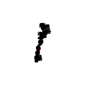 COc1cc(N2CCN(CCC3CCN(c4ccc(C5CCC(=O)NC5=O)cc4)CC3)CC2)c(C)cc1Nc1ncc(Br)c(Nc2ccc3nccnc3c2P(C)(C)=O)n1